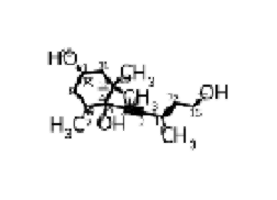 CC(C#C[C@]1(O)[C@H](C)C[C@@H](O)CC1(C)C)=CCO